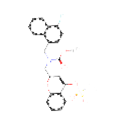 CC(C)(C)OC(=O)N(Cc1ccc(F)c2ccccc12)CC1C=C(OS(=O)(=O)C(F)(F)F)c2ccccc2O1